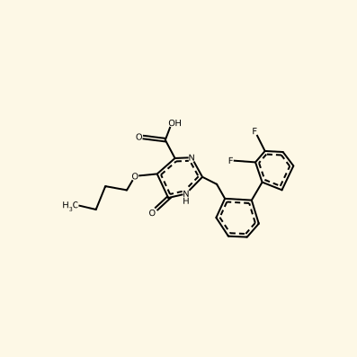 CCCCOc1c(C(=O)O)nc(Cc2ccccc2-c2cccc(F)c2F)[nH]c1=O